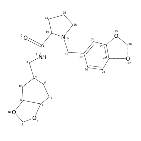 O=C(NCC1CCC2OCOC2C1)C1CCCN1Cc1ccc2c(c1)OCO2